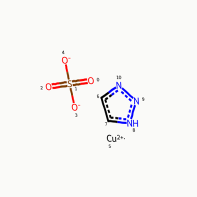 O=S(=O)([O-])[O-].[Cu+2].c1c[nH]nn1